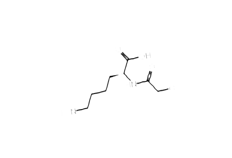 NCCCC[C@H](NC(=O)C[O])C(=O)O